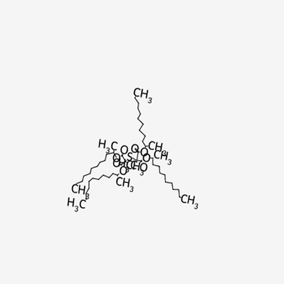 CCCCCCCCCCC(C)OC(=O)C(C)(SC(C)(C(=O)OC(C)CCCCCCCCCC)C(=O)OC(C)CCCCCCCCCC)C(=O)OC(C)CCCCCCCCCC